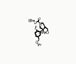 CC(C)OCc1ccc(F)c(C23CN(C(=O)OC(C)(C)C)CC2CON3)c1